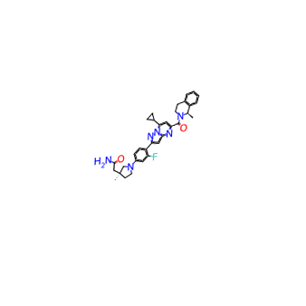 C[C@@H]1c2ccccc2CCN1C(=O)c1cc(C2CC2)n2nc(-c3ccc(N4CC[C@@](C)(CC(N)=O)C4)cc3F)cc2n1